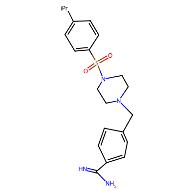 CC(C)c1ccc(S(=O)(=O)N2CCN(Cc3ccc(C(=N)N)cc3)CC2)cc1